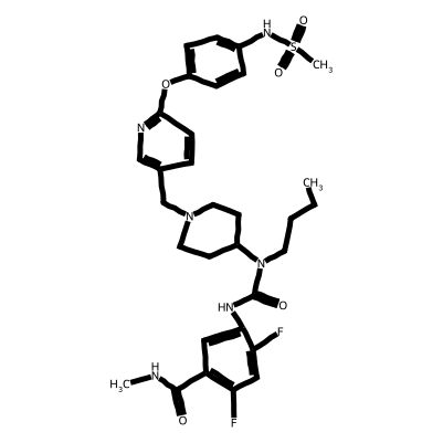 CCCCN(C(=O)Nc1cc(C(=O)NC)c(F)cc1F)C1CCN(Cc2ccc(Oc3ccc(NS(C)(=O)=O)cc3)nc2)CC1